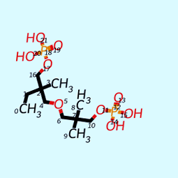 CCC(C)(COCC(C)(C)COP(=O)(O)O)COP(=O)(O)O